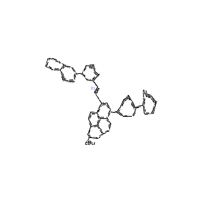 CC(C)(C)c1cc2ccc3c(/C=C/c4cccc(-c5ccc6ccccc6c5)c4)cc(-c4ccc(-c5ccccn5)cc4)c4ccc(c1)c2c34